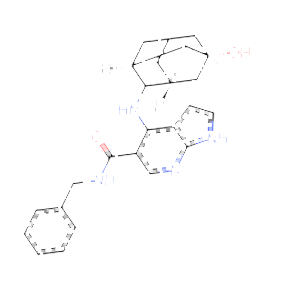 O=C(NCc1ccccc1)c1cnc2[nH]ccc2c1NC1[C@@H]2CC3C[C@H]1C[C@@](O)(C3)C2